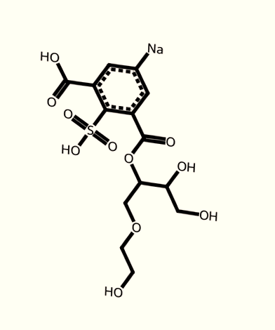 O=C(O)c1c[c]([Na])cc(C(=O)OC(COCCO)C(O)CO)c1S(=O)(=O)O